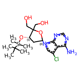 CC(C)(C)[Si](C)(C)O[C@H]1C[C@H](n2cc(Cl)c3c(N)ncnc32)OC1(CO)CO